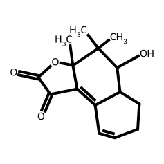 CC12OC(=O)C(=O)C1=C1C=CCCC1C(O)C2(C)C